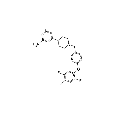 Nc1cncc(C2CCN(Cc3ccc(Oc4cc(F)c(F)cc4F)cc3)CC2)c1